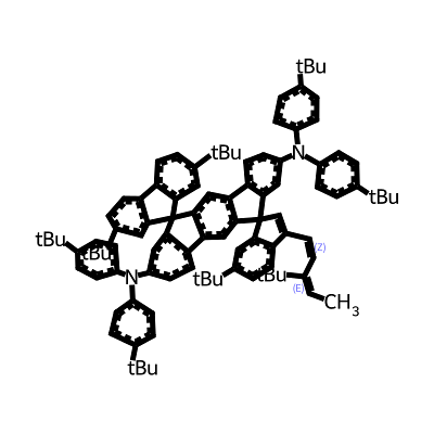 C/C=C(\C=C/C1=CC2(c3cc(C(C)(C)C)ccc31)c1cc(N(c3ccc(C(C)(C)C)cc3)c3ccc(C(C)(C)C)cc3)ccc1-c1cc3c(cc12)-c1ccc(N(c2ccc(C(C)(C)C)cc2)c2ccc(C(C)(C)C)cc2)cc1C31c2cc(C(C)(C)C)ccc2-c2ccc(C(C)(C)C)cc21)C(C)(C)C